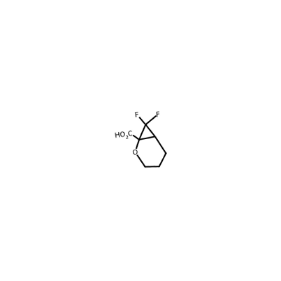 O=C(O)C12OCCCC1C2(F)F